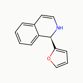 C1=Cc2ccccc2[C@H](c2ccco2)N1